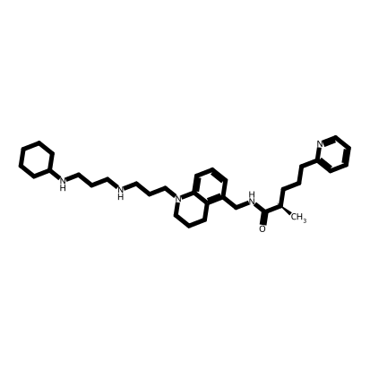 C[C@H](CCCc1ccccn1)C(=O)NCc1cccc2c1CCCN2CCCNCCCNC1CCCCC1